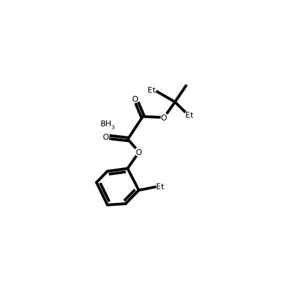 B.CCc1ccccc1OC(=O)C(=O)OC(C)(CC)CC